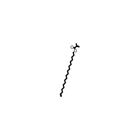 C=CCCCCCCCCCCCCCCCCCCOC(=O)C(=C)C